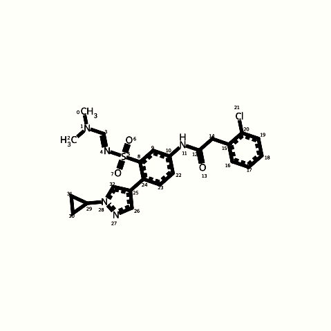 CN(C)C=NS(=O)(=O)c1cc(NC(=O)Cc2ccccc2Cl)ccc1-c1cnn(C2CC2)c1